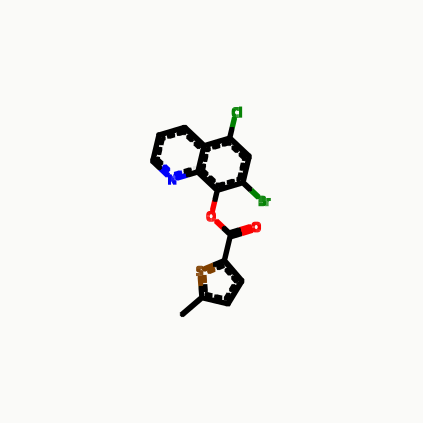 Cc1ccc(C(=O)Oc2c(Br)cc(Cl)c3cccnc23)s1